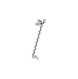 CCCCCCCCCCCCCCCCCC(O)(C=O)C=O